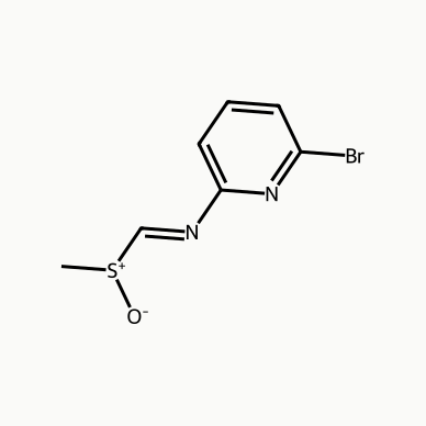 C[S+]([O-])C=Nc1cccc(Br)n1